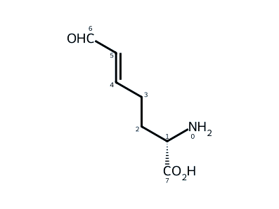 N[C@@H](CC/C=C/C=O)C(=O)O